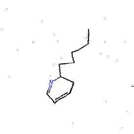 CCCCCC1CC=CC=N1